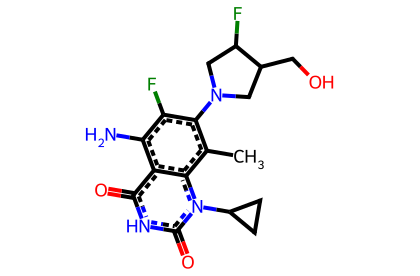 Cc1c(N2CC(F)C(CO)C2)c(F)c(N)c2c(=O)[nH]c(=O)n(C3CC3)c12